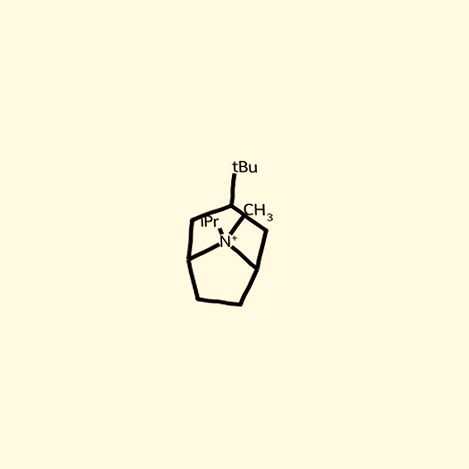 CC(C)[N+]1(C)C2CCC1CC(C(C)(C)C)C2